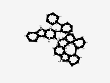 c1ccc(-c2ccccc2-c2nc3sc4ccccc4c3nc2-n2c3ccc4cccc5c4c3c3c4c(ccc32)oc2cccc-5c24)cc1